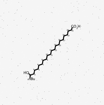 CCCCC(O)CCCCCCCCCCCCCCCCCCCC(=O)O